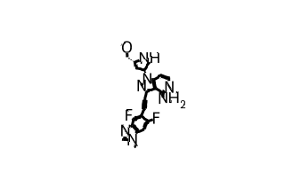 COC[C@H]1C[C@H](n2nc(C#Cc3c(F)cc4c(ncn4C)c3F)c3c(N)nccc32)CN1